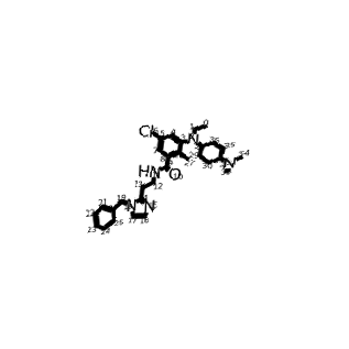 CCN(c1cc(Cl)cc(C(=O)NCCc2nccn2Cc2ccccc2)c1C)C1CCC(N(C)C)CC1